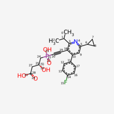 CC(C)c1nc(C2CC2)cc(-c2ccc(F)cc2)c1C#CP(=O)(O)C[C@@H](O)CC(=O)O